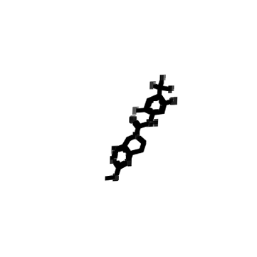 CSc1nnc2c(n1)CCN(C(=O)Nc1cc(Cl)c(C(F)(F)F)cc1F)C2